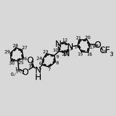 C[C@@H](OC(=O)Nc1ccc(-c2ncn(-c3ccc(OC(F)(F)F)cc3)n2)cc1)c1ccccc1